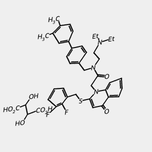 CCN(CC)CCN(Cc1ccc(-c2ccc(C)c(C)c2)cc1)C(=O)Cn1c(SCc2cccc(F)c2F)cc(=O)c2ccccc21.O=C(O)C(O)C(O)C(=O)O